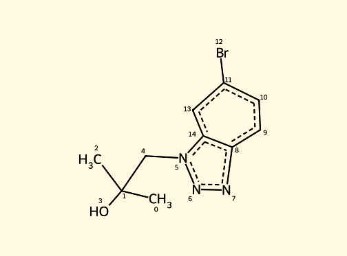 CC(C)(O)Cn1nnc2ccc(Br)cc21